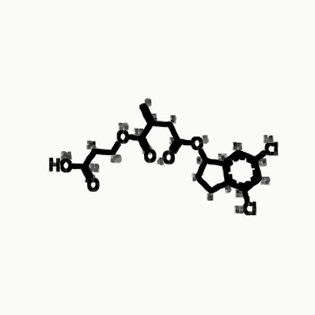 C=C(CC(=O)OC1CCc2c(Cl)cc(Cl)cc21)C(=O)OCCC(=O)O